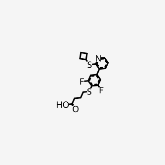 O=C(O)CCCSc1c(F)cc(-c2cccnc2SC2CCC2)cc1F